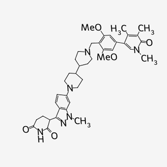 COc1cc(-c2cn(C)c(=O)c(C)c2C)cc(OC)c1CN1CCC(C2CCN(c3ccc4c(C5CCC(=O)NC5=O)nn(C)c4c3)CC2)CC1